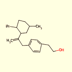 C=C(Cc1ccc(CCO)cc1)C1CC(C)CCC1C(C)C